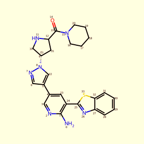 Nc1ncc(-c2cnn([C@@H]3CNC(C(=O)N4CCCCC4)C3)c2)cc1-c1nc2ccccc2s1